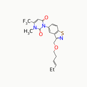 CC/C=C/CCOCc1nsc2ccc(-n3c(=O)cc(C(F)(F)F)n(C)c3=O)cc12